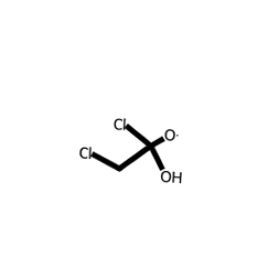 [O]C(O)(Cl)CCl